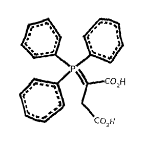 O=C(O)CC(C(=O)O)=P(c1ccccc1)(c1ccccc1)c1ccccc1